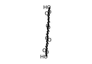 O=C(CSCCSCCOOCSCCSCOC(=O)CSCCSCC(=O)OCCO)OCCO